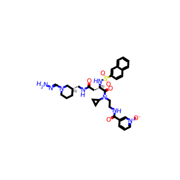 NN=CN1CCC[C@@H](CNC(=O)C[C@H](NS(=O)(=O)c2ccc3ccccc3c2)C(=O)N(CCNC(=O)c2ccc[n+]([O-])c2)C2CC2)C1